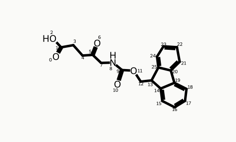 O=C(O)CCC(=O)CNC(=O)OCC1c2ccccc2-c2ccccc21